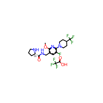 COc1nc(N2CCC(C(F)(F)F)CC2)c(F)cc1CNC(=O)[C@@H]1CCCN1.O=C(O)C(F)(F)F